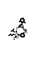 CCCCN(C(=O)OC)N1C(=O)c2cccc(c2)S(=O)(=O)Nc2nc(cc(-c3c(C)cccc3C)n2)OC[C@@H]1CC(C)C